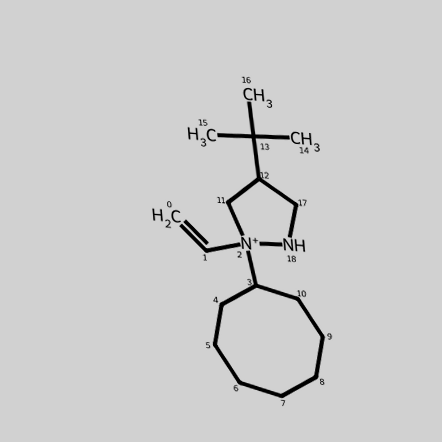 C=C[N+]1(C2CCCCCCC2)CC(C(C)(C)C)CN1